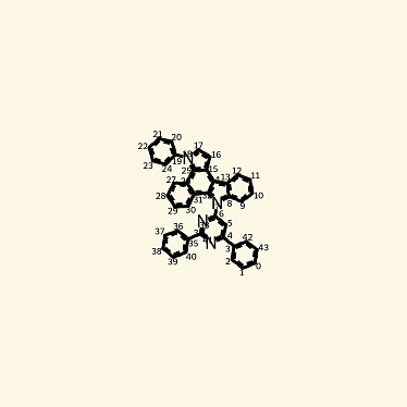 c1ccc(-c2cc(-n3c4ccccc4c4c5ccn(-c6ccccc6)c5c5ccccc5c43)nc(-c3ccccc3)n2)cc1